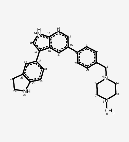 CN1CCN(Cc2ccc(-c3cnc4[nH]cc(-c5ccc6c(c5)CCN6)c4c3)cc2)CC1